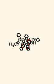 COOC[C@@H](OCc1ccccc1)[C@@H](OCc1ccccc1)[C@@H](OCc1ccccc1)C(O[C@@H]1O[C@H](COCc2ccccc2)[C@@H](O)[C@H]1OCc1ccccc1)C(c1ccccc1)(c1ccccc1)c1ccccc1